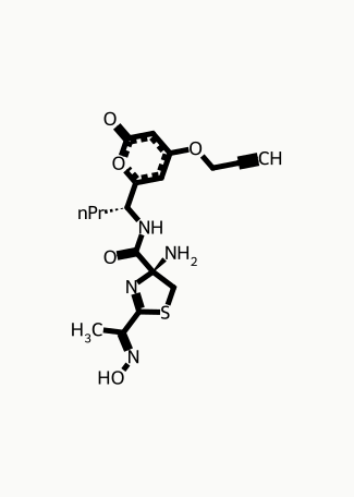 C#CCOc1cc([C@@H](CCC)NC(=O)[C@]2(N)CSC(/C(C)=N/O)=N2)oc(=O)c1